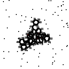 CC1C/C=C(c2c(C3CCc4cc5ccccc5cc4-c4ccccc43)ccc3oc4ccccc4c23)/N=C(c2ccc(-c3ccccc3)cc2)\N=C/1c1cccc2c1-c1ccccc1C2Cc1ccccc1